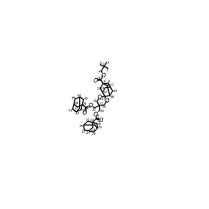 CC(C)(C)COC(=O)C12CC3CC(C1)C1(OCC(COC(=O)C45CC6CC(CC(C6)C4)C5)(COC(=O)C45CC6CC(CC(C6)C4)C5)CO1)C(C3)C2